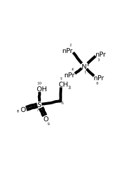 CCC[N+](CCC)(CCC)CCC.CCS(=O)(=O)O